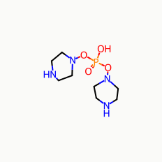 O=P(O)(ON1CCNCC1)ON1CCNCC1